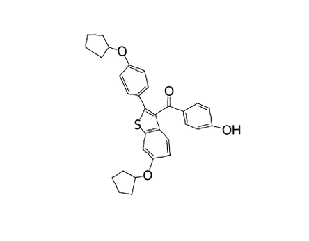 O=C(c1ccc(O)cc1)c1c(-c2ccc(OC3CCCC3)cc2)sc2cc(OC3CCCC3)ccc12